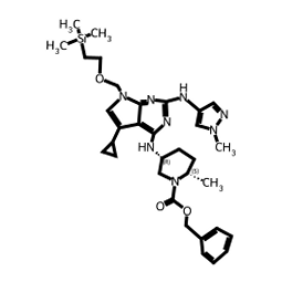 C[C@H]1CC[C@@H](Nc2nc(Nc3cnn(C)c3)nc3c2c(C2CC2)cn3COCC[Si](C)(C)C)CN1C(=O)OCc1ccccc1